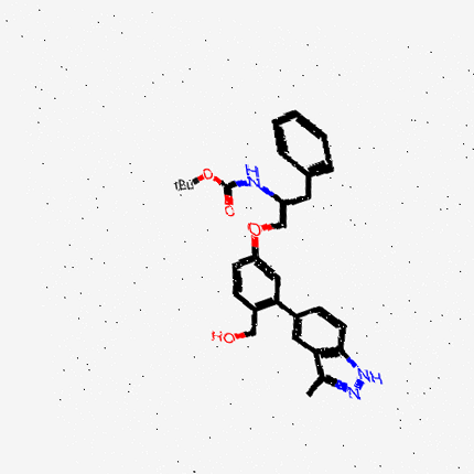 Cc1n[nH]c2ccc(-c3cc(OCC(Cc4ccccc4)NC(=O)OC(C)(C)C)ccc3CO)cc12